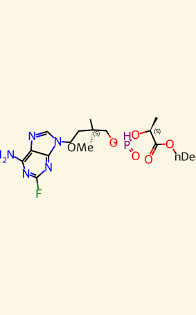 CCCCCCCCCCOC(=O)[C@H](C)O[PH](=O)OC[C@](C)(CCn1cnc2c(N)nc(F)nc21)OC